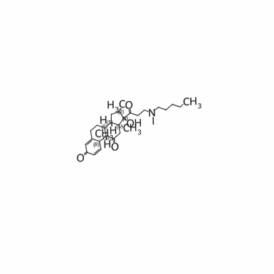 CCCCCN(I)CCC(=O)[C@@]1(O)[C@H](C)C[C@H]2[C@@H]3CCC4=CC(=O)C=C[C@]4(C)[C@H]3C(=O)C[C@@]21C